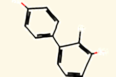 CCc1c(O)cccc1-c1ccc(O)cc1